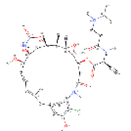 C#C[C@@H](C(=O)O[C@H]1CC(=O)N(C)c2cc(cc(OC)c2Cl)C/C(C)=C/C=C/[C@@H](OC)[C@@]2(O)C[C@H](OC(=O)N2)[C@@H](C)[C@@H]2O[C@@]12C)N(C)C(=O)CCN(C)C(C)C